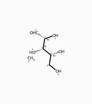 C.O=C[C@H](O)[C@@H](O)[C@H](O)CO